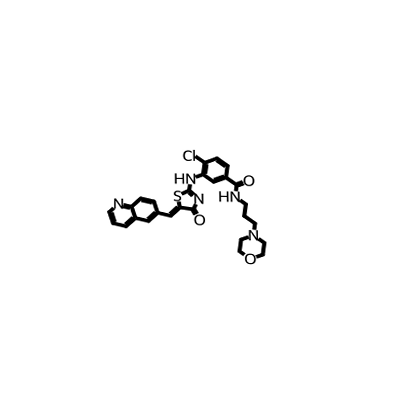 O=C1N=C(Nc2cc(C(=O)NCCCN3CCOCC3)ccc2Cl)S/C1=C\c1ccc2ncccc2c1